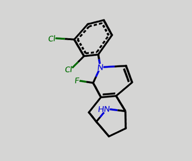 FC1C2=C(C=CN1c1cccc(Cl)c1Cl)C1CCC(C2)N1